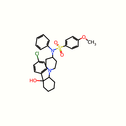 COc1ccc(S(=O)(=O)N(c2ccccc2)C2CCN(C3CCCCC3(O)c3ccc(Cl)cc3)CC2)cc1